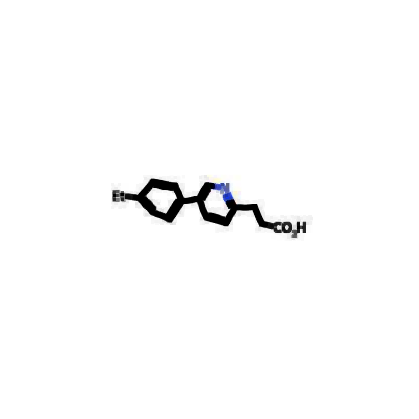 CCc1ccc(-c2ccc(CCC(=O)O)nc2)cc1